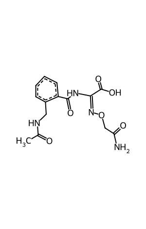 CC(=O)NCc1ccccc1C(=O)NC(=NOCC(N)=O)C(=O)O